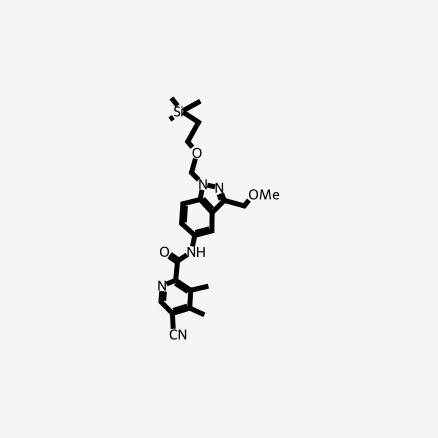 COCc1nn(COCC[Si](C)(C)C)c2ccc(NC(=O)c3ncc(C#N)c(C)c3C)cc12